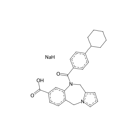 O=C(O)c1ccc2c(c1)N(C(=O)c1ccc(C3CCCCC3)cc1)Cc1cccn1C2.[NaH]